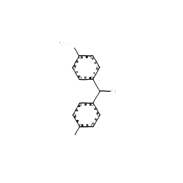 COc1ccc(C(N)c2ccc(O)cc2)cc1